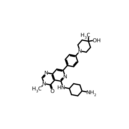 Cn1cnc2cc(-c3ccc(N4CCC(C)(O)CC4)cc3)nc(NC3CCC(N)CC3)c2c1=O